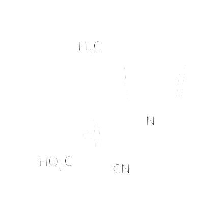 Cc1cccnc1/C=C(\C#N)C(=O)O